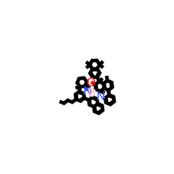 CCCCc1cc2c3c(c1)C1(C)CCCCC1(C)N3B1C3=C4Oc5cc6c(cc5C4(C)C4=C5C(C)(C=CC4C)c4ccccc4N(c4c1c-2cc1ccccc41)C35C)C(C)(C)CCC6(C)C